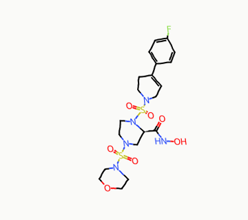 O=C(NO)[C@H]1CN(S(=O)(=O)N2CCOCC2)CCN1S(=O)(=O)N1CC=C(c2ccc(F)cc2)CC1